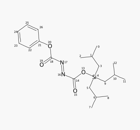 CC(C)C[Si](CC(C)C)(CC(C)C)OC(=O)N=NC(=O)Oc1ccccc1